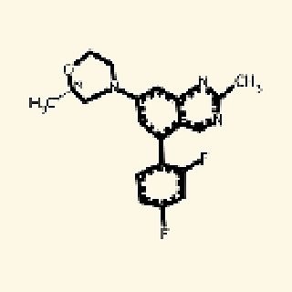 Cc1ncc2c(-c3ccc(F)cc3F)cc(N3CCO[C@@H](C)C3)cc2n1